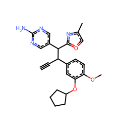 C#CC(c1ccc(OC)c(OC2CCCC2)c1)C(c1cnc(N)nc1)c1nc(C)co1